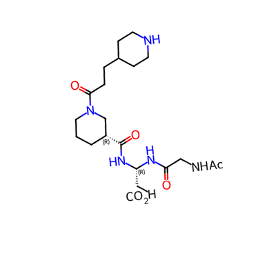 CC(=O)NCC(=O)N[C@H](CC(=O)O)NC(=O)[C@@H]1CCCN(C(=O)CCC2CCNCC2)C1